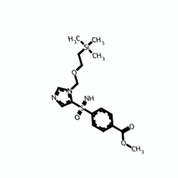 COC(=O)c1ccc(S(=N)(=O)c2cncn2COCC[Si](C)(C)C)cc1